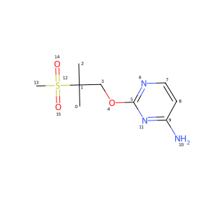 CC(C)(COc1nccc(N)n1)S(C)(=O)=O